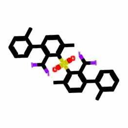 Cc1ccccc1-c1ccc(C)c(S(=O)(=O)c2c(C)ccc(-c3ccccc3C)c2C(I)I)c1C(I)I